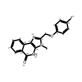 Cn1c(COc2ccc(F)cc2)nc2c3ccccc3c(=O)[nH]c21